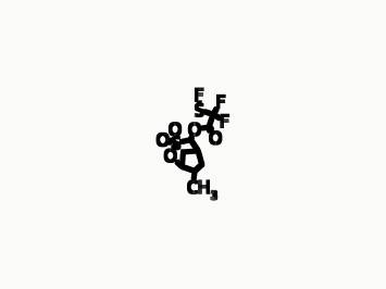 CC1CC2CC1OS(=O)(=O)C2OC(=O)C(F)(F)SF